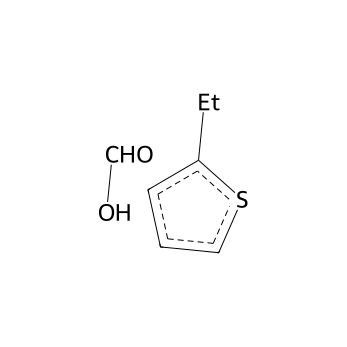 CCc1cccs1.O=CO